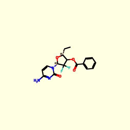 CC[C@H]1O[C@@H](n2ccc(N)nc2=O)C(F)(F)C1OC(=O)c1ccccc1